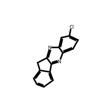 Clc1ccc2nc3c(nc2c1)Cc1ccccc1-3